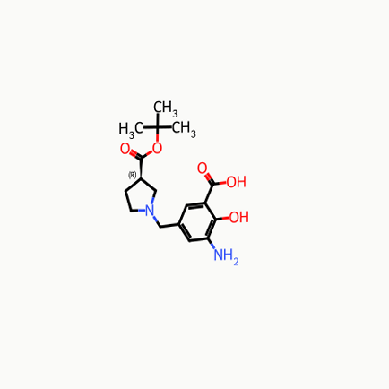 CC(C)(C)OC(=O)[C@@H]1CCN(Cc2cc(N)c(O)c(C(=O)O)c2)C1